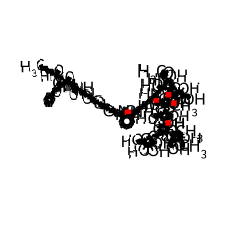 CCCCCNC(=O)CC[C@H](NC(=O)OCc1ccccc1)C(=O)NCC(=O)NCCOCCOCCOCCn1nnc2c1CCCCCC2(F)C(=O)NCCCCCC(=O)NCC(O)C1O[C@@](OC=O)(O[C@@H]2C(O[C@@H]3OC(CO)[C@@H](O)[C@H](O[C@@H]4OC(CO)[C@@H](O[C@@H]5OC(CO[C@@H]6OC(CO)[C@H](O)[C@H](O)C6O)[C@H](O)[C@H](O[C@@H]6OC(CO)[C@@H](OC)[C@H](O)C6C)C5O)[C@H](O)C4O)C3O)[C@H](OC)OC(CO)[C@@H]2O)C[C@@H](O)[C@@H]1NC(C)=O